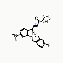 CN(C)c1ccc2c(/C=C/C(=O)NN)nn(Cc3ccc(F)cc3Cl)c2c1